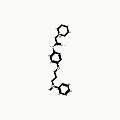 CN(CCCOc1ccc(OC(=O)CN2CCCCC2)cc1)c1ccccc1